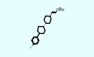 CCCC/C=C/[C@H]1CC[C@H](C2CCC(c3ccc(F)cc3)CC2)CC1